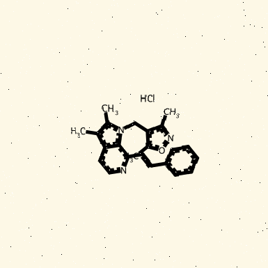 Cc1noc(C)c1Cn1c(C)c(C)c2ccnc(C=Cc3ccccc3)c21.Cl